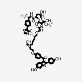 CCN(CCCCCOCC(=O)NC(C(=O)N1C[C@H](O)C[C@H]1C(=O)N[C@@H](C)c1ccc(-c2scnc2C)cc1)C(C)(C)C)CCOc1ccc(C(=O)c2c(-c3ccc(O)cc3)sc3cc(O)ccc23)cc1